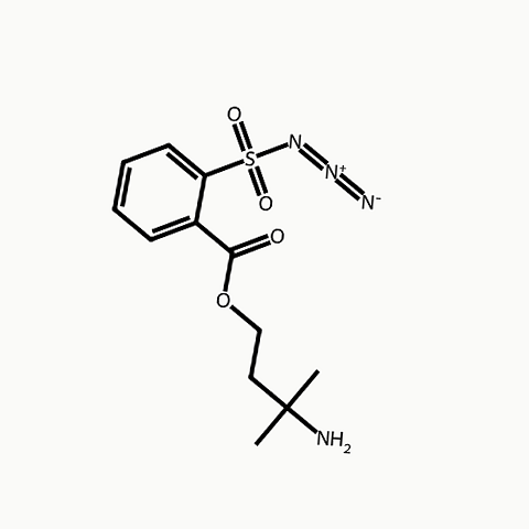 CC(C)(N)CCOC(=O)c1ccccc1S(=O)(=O)N=[N+]=[N-]